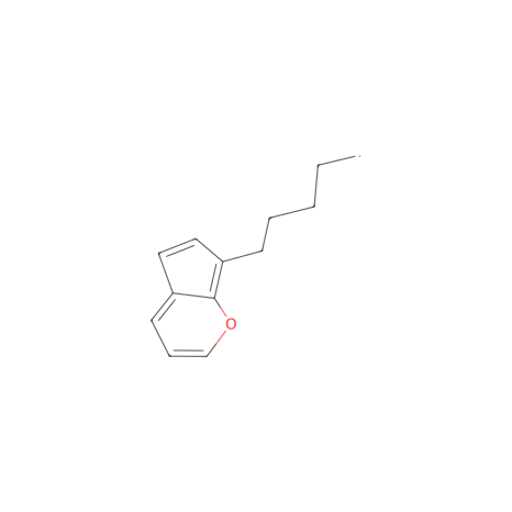 [CH2]CCCCc1ccc2cccoc1-2